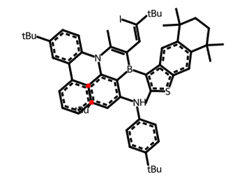 CC1=C(/C=C(\I)C(C)(C)C)B(c2c(C)sc3cc4c(cc23)C(C)(C)CCC4(C)C)c2c(Nc3ccc(C(C)(C)C)cc3)cc(C(C)(C)C)cc2N1c1ccc(C(C)(C)C)cc1-c1ccccc1